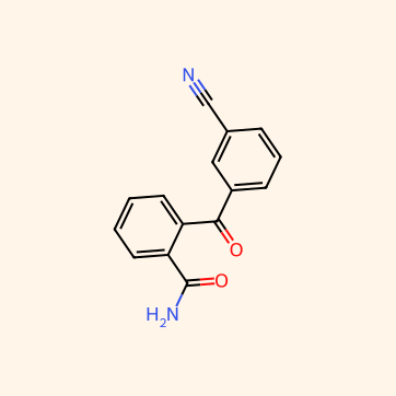 N#Cc1cccc(C(=O)c2ccccc2C(N)=O)c1